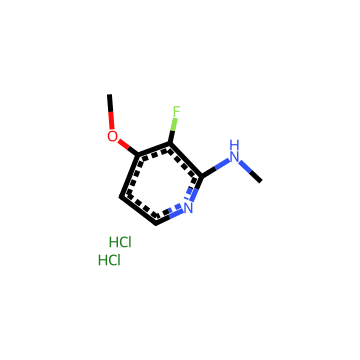 CNc1nccc(OC)c1F.Cl.Cl